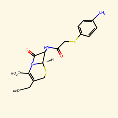 CC(=O)OCC1=C(C(=O)O)N2C(=O)[C@@H](NC(=O)CSc3ccc(N)cc3)[C@H]2SC1